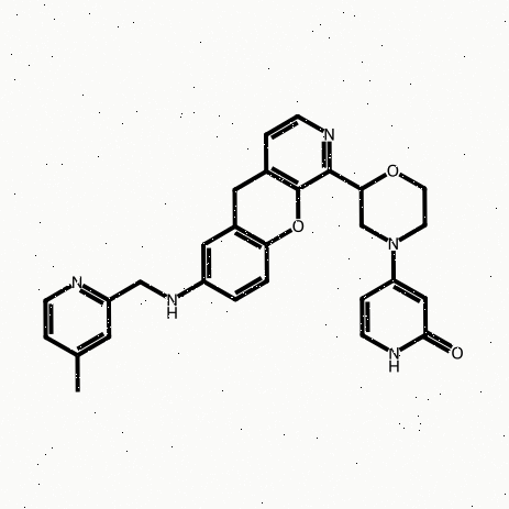 Cc1ccnc(CNc2ccc3c(c2)Cc2ccnc(C4CN(c5cc[nH]c(=O)c5)CCO4)c2O3)c1